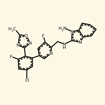 Cc1nc(-c2c(F)cc(Cl)cc2-c2cnc(CNc3nc4ccccc4n3N)c(F)c2)no1